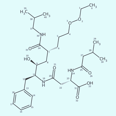 CCOOCCC[C@H](C[C@H](O)[C@H](Cc1ccccc1)NC(=O)C[C@H](NC(=O)CC(C)C)C(=O)O)C(=O)NCC(C)C